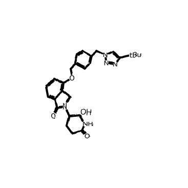 CC(C)(C)c1cn(Cc2ccc(COc3cccc4c3CN(C3CCC(=O)NC3O)C4=O)cc2)nn1